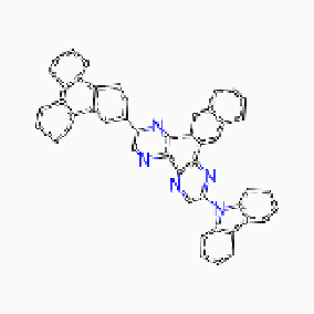 c1ccc2cc3c(cc2c1)c1nc(-c2ccc4c5ccccc5c5ccccc5c4c2)cnc1c1ncc(-n2c4ccccc4c4ccccc42)nc31